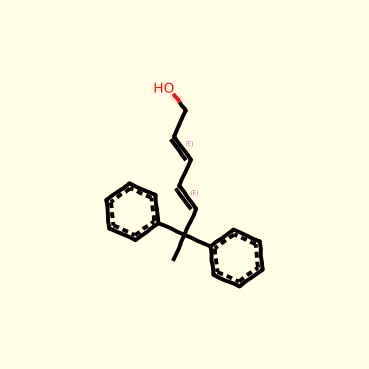 CC(/C=C/C=C/CO)(c1ccccc1)c1ccccc1